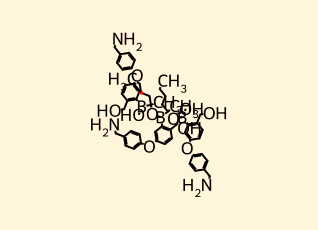 CCCCC(C)(OB(c1cc(Oc2ccc(CN)cc2)ccc1CO)C(C)(CCCC)OB(O)c1cc(Oc2ccc(CN)cc2)ccc1CO)B(O)c1cc(Oc2ccc(CN)cc2)ccc1CO